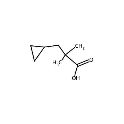 CC(C)(CC1CC1)C(=O)O